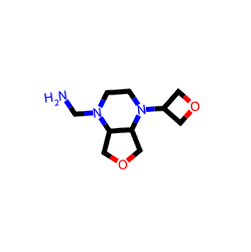 NCN1CCN(C2COC2)C2COCC21